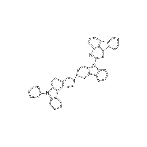 c1ccc(-n2c3ccccc3c3c4ccc(-c5ccc6c(c5)c5ccccc5n6-c5cc6c7c(cccc7n5)-c5ccccc5-6)cc4ccc32)cc1